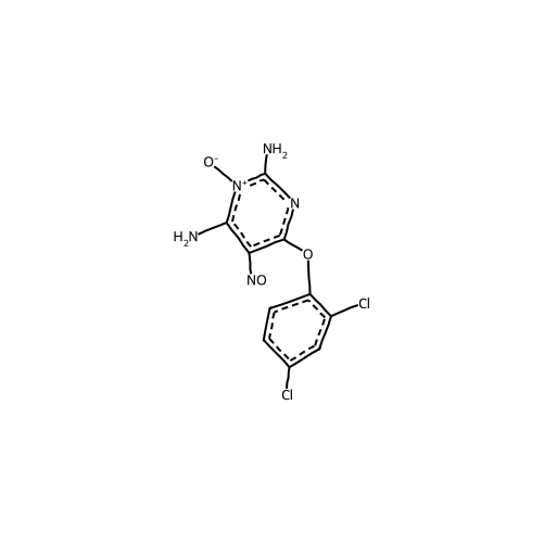 Nc1nc(Oc2ccc(Cl)cc2Cl)c(N=O)c(N)[n+]1[O-]